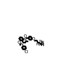 CC(=O)N(c1ccc(Cl)cc1)C1CC(C)N(C(=O)c2ccc(OCCCc3nnn[nH]3)cc2)c2ccccc21